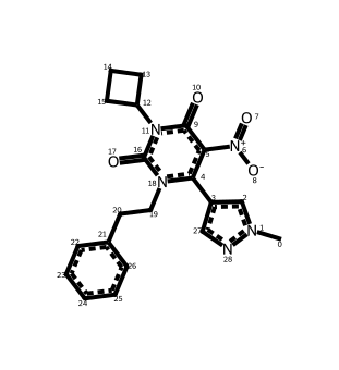 Cn1cc(-c2c([N+](=O)[O-])c(=O)n(C3CCC3)c(=O)n2CCc2ccccc2)cn1